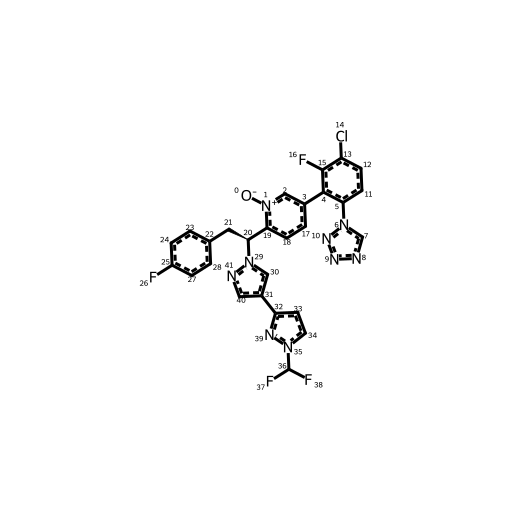 [O-][n+]1cc(-c2c(-n3cnnn3)ccc(Cl)c2F)ccc1[C@H](Cc1ccc(F)cc1)n1cc(-c2ccn(C(F)F)n2)cn1